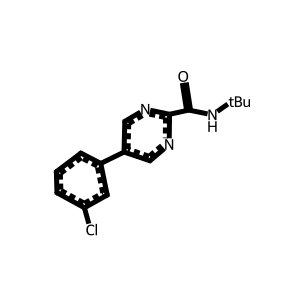 CC(C)(C)NC(=O)c1ncc(-c2cccc(Cl)c2)cn1